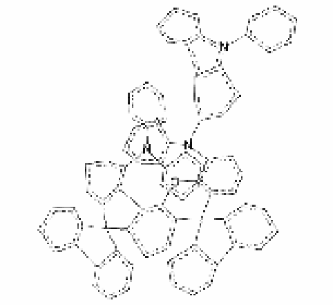 c1ccc(N(c2ccc3c(c2)c2ccccc2n3-c2ccccc2)c2cccc3c2Oc2c(ccc4c2-c2c(N(c5ccccc5)c5ccccc5)cccc2C42c4ccccc4-c4ccccc42)C32c3ccccc3-c3ccccc32)cc1